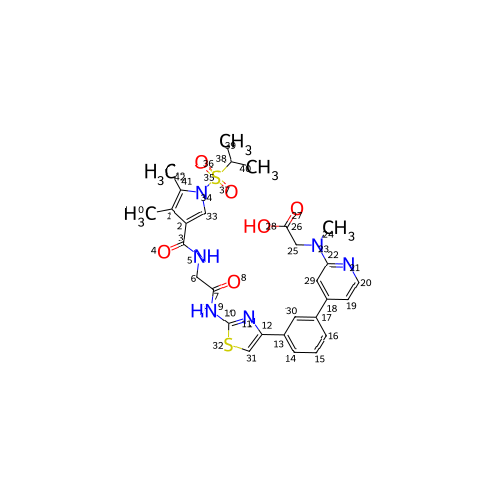 Cc1c(C(=O)NCC(=O)Nc2nc(-c3cccc(-c4ccnc(N(C)CC(=O)O)c4)c3)cs2)cn(S(=O)(=O)C(C)C)c1C